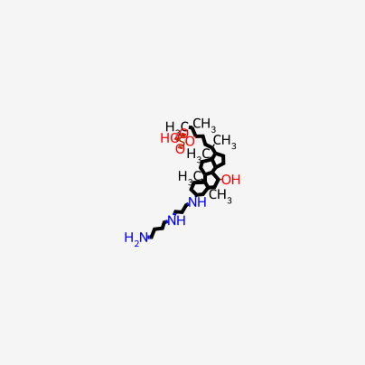 CC(C)C(CC[C@H](C)C1CCC2C3C(CC[C@@]21C)[C@@]1(C)CC[C@H](NCCCNCCCCN)C[C@]1(C)C[C@H]3O)OS(=O)(=O)O